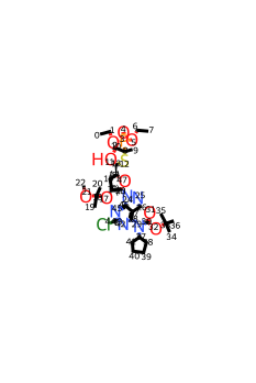 CCOP(=O)(OCC)C(C)(CO)SC[C@@H]1C[C@@H](OC(C)(C)OC)[C@H](n2ncc3c(N(C(=O)OC(C)(C)C)C4CCCC4)nc(Cl)nc32)O1